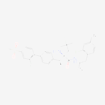 CC(C)(F)C[C@](N)(C(=O)NC(C#N)Cc1ccc(C#N)cc1F)[C@H](c1ccc(-c2ccc(S(C)(=O)=O)cc2Cl)cc1)C(F)(F)F